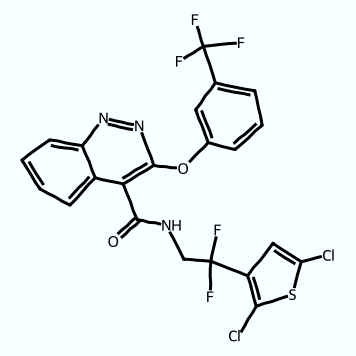 O=C(NCC(F)(F)c1cc(Cl)sc1Cl)c1c(Oc2cccc(C(F)(F)F)c2)nnc2ccccc12